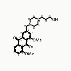 COc1cccc2c1C(=O)c1c(OC)cc(CN3CCN(CCCO)CC3)cc1C2=O